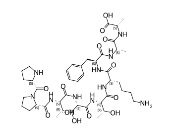 C[C@H](NC(=O)[C@H](C)NC(=O)[C@H](Cc1ccccc1)NC(=O)[C@H](CCCCN)NC(=O)[C@@H](NC(=O)[C@@H](NC(=O)[C@@H](NC(=O)[C@@H]1CCCN1C(=O)[C@@H]1CCCN1)[C@@H](C)O)[C@@H](C)O)[C@@H](C)O)C(=O)O